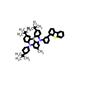 Cc1cc2c3c(c1)N(c1cccc(-c4cccc5c4sc4ccccc45)c1)c1ccc(C(C)(C)C)cc1B3c1cc(C(C)(C)C)ccc1N2c1ccc(C(C)(C)C)cc1